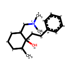 CC1CCCC(CN(C)C)C1(O)CCc1ccccc1